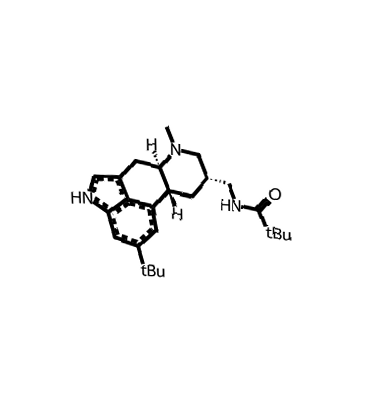 CN1C[C@H](CNC(=O)C(C)(C)C)C[C@@H]2c3cc(C(C)(C)C)cc4[nH]cc(c34)C[C@H]21